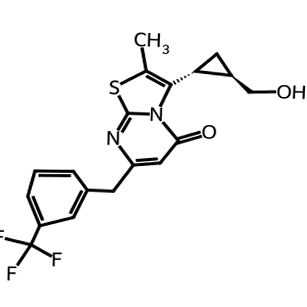 Cc1sc2nc(Cc3cccc(C(F)(F)F)c3)cc(=O)n2c1[C@@H]1C[C@H]1CO